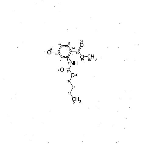 CCCCOC(=O)Nc1cc(Cl)ccc1C(=O)OC